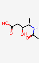 CC(=O)NC(C)C(O)CC(=O)O